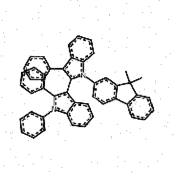 CC1(C)c2ccccc2-c2ccc(-n3c(-c4c(-c5ccccc5)n(-c5ccccc5)c5ccccc45)c(-c4ccccc4)c4ccccc43)cc21